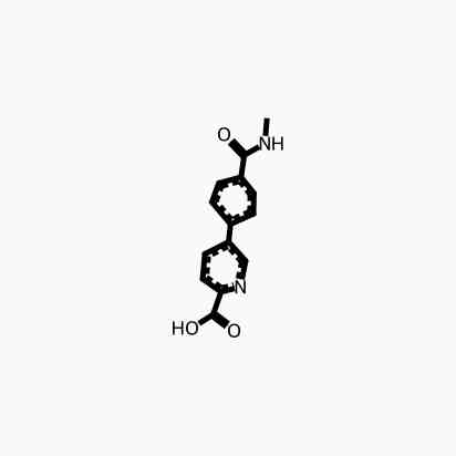 CNC(=O)c1ccc(-c2ccc(C(=O)O)nc2)cc1